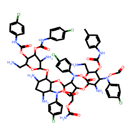 Cc1ccc(NC(=O)OC2C(CN)OC(OC3C(COC(N)=O)OC(OC4C(OC5OC(CN)C(OC(=O)Nc6ccc(Cl)cc6)C(OC(=O)Nc6ccc(Cl)cc6)C5N)C(N)CC(N)C4N(OC=O)c4ccc(Cl)cc4)C3N(OC=O)c3ccc(Cl)cc3)C(N)C2N(OC=O)c2ccc(Cl)cc2)cc1